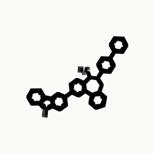 CC1c2ccc(-c3ccc4[nH]c5ccccc5c4c3)cc2-c2ccccc2CC1c1ccc(-c2ccccc2)cc1